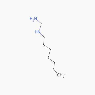 [CH2]CCCCCCNCN